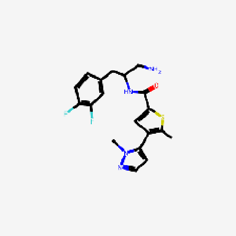 Cc1sc(C(=O)NC(CN)Cc2ccc(F)c(F)c2)cc1-c1ccnn1C